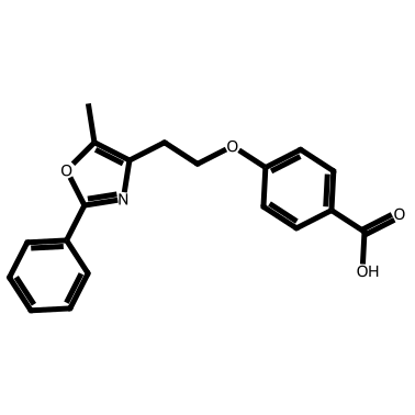 Cc1oc(-c2ccccc2)nc1CCOc1ccc(C(=O)O)cc1